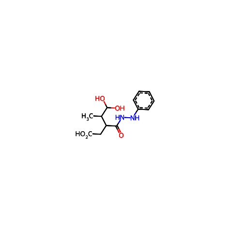 CC(C(O)O)C(CC(=O)O)C(=O)NNc1ccccc1